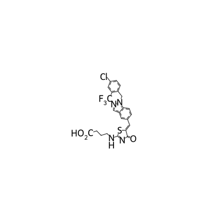 O=C(O)CCCNC1=NC(=O)C(=Cc2ccc3c(cnn3Cc3ccc(Cl)cc3C(F)(F)F)c2)S1